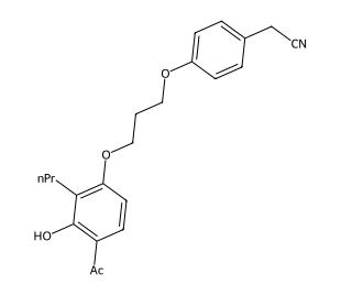 CCCc1c(OCCCOc2ccc(CC#N)cc2)ccc(C(C)=O)c1O